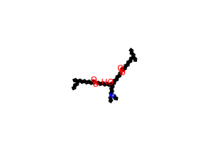 CCCCC(CC)CCCCCCC(=O)OCCCCCCC(O)(CCCCCCOC(=O)CCCCCCC(CC)CCCC)CCCCN(CCC)CCC